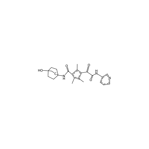 Cc1c(C(=O)NC23CCC(O)(CC2)CC3)c(C)n(C)c1C(=O)C(=O)Nc1cccnc1